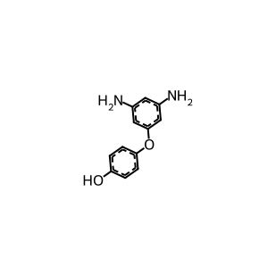 Nc1cc(N)cc(Oc2ccc(O)cc2)c1